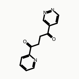 O=C(CCC(=O)c1ccccn1)c1ccnnc1